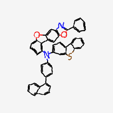 c1ccc(-c2nc3cc4oc5cccc(N(c6ccc(-c7cccc8ccccc78)cc6)c6ccc7c(c6)sc6ccccc67)c5c4cc3o2)cc1